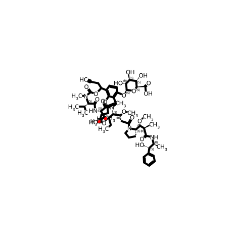 C#CCC(OC(=O)N(C)[C@H](C(=O)N[C@H](C(=O)N(C)[C@@H]([C@@H](C)CC)[C@@H](CC(=O)N1CCC[C@H]1[C@H](OC)[C@@H](C)C(=O)N[C@H](C)[C@@H](O)c1ccccc1)OC)C(C)C)C(C)C)c1ccc(O[C@@H]2O[C@H](C(=O)O)[C@@H](O)[C@H](O)[C@H]2O)c2cc(CCC(=O)O)oc12